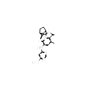 C=C1C2CCC(C2)C12NC(=O)c1c(C)cc(Nc3cc(N)ncn3)c(=O)n12